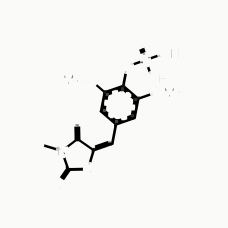 COc1cc(C=C2SC(=S)N(C)C2=O)cc(OC)c1OP(=O)(O)O